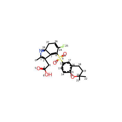 CC1=C(CC(=O)O)C2=C(S(=O)(=O)c3ccc4c(c3)CCC(C)(C)O4)C(F)=CCC2=N1